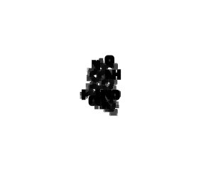 CC(=O)c1cnc2ccc(-c3cc(F)c(O)c(Cl)c3)cc2c1NC1CCC(NC(=O)C2CCCN2)CC1